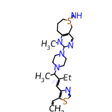 C=Cc1scnc1/C=C(\CC)C(C)N1CCN(C2N=CC3=C(CCCS(=N)C3)N2C)CC1